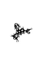 Cc1cc(-c2ccc3c(N4CCOCC4)nc(N4CC(C)OC(C)C4)nc3n2)cs1